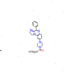 CCCCCCCC(=O)N1CCN(c2ccc3c(c2)N2CCN=C2C(c2ccccc2)=N3)CC1